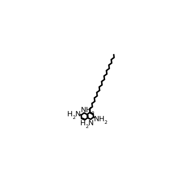 CCCCCCCCCCCCCCCCCCCCCC1=CC(N)C(N)C2=C1C(N)C(N)C=C2